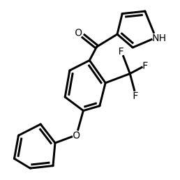 O=C(c1cc[nH]c1)c1ccc(Oc2ccccc2)cc1C(F)(F)F